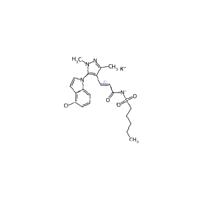 CCCCCS(=O)(=O)[N-]C(=O)/C=C/c1c(C)nn(C)c1-n1ccc2c(Cl)cccc21.[K+]